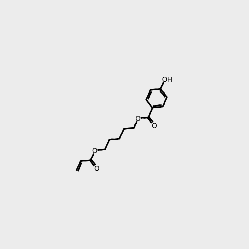 C=CC(=O)OCCCCCOC(=O)c1ccc(O)cc1